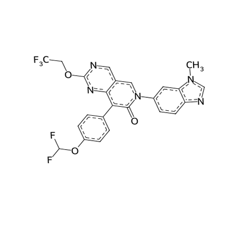 Cn1cnc2ccc(-n3cc4cnc(OCC(F)(F)F)nc4c(-c4ccc(OC(F)F)cc4)c3=O)cc21